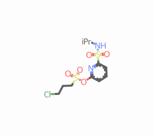 CC(C)NS(=O)(=O)c1cccc(OS(=O)(=O)CCCCl)n1